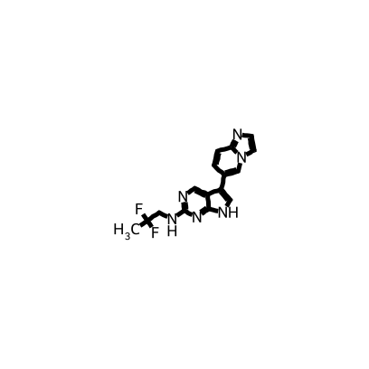 CC(F)(F)CNc1ncc2c(-c3ccc4nccn4c3)c[nH]c2n1